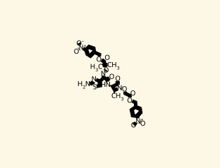 C[C@H]1[C@H](NC(=O)/C(=N\OC(C)(C)C(=O)OCc2ccc([N+](=O)[O-])cc2)c2csc(N)n2)C(=O)N1OCC(=O)OCc1ccc([N+](=O)[O-])cc1